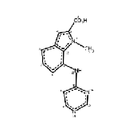 Cn1c(C(=O)O)cc2cccc(Nc3ccncn3)c21